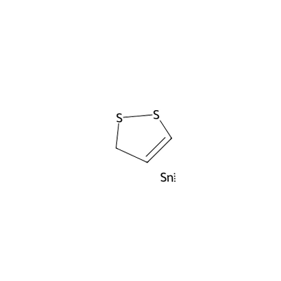 C1=CSSC1.[Sn]